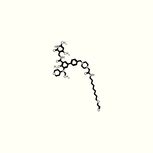 CCN(c1cc(-c2ccc(CN3CCN(CC(=O)NCCCCCCCCCOCC=O)CC3)cc2)cc(C(=O)NCc2c(C)cc(C)[nH]c2=O)c1C)C1CCOCC1